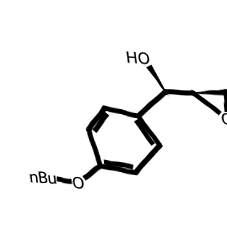 CCCCOc1ccc([C@@H](O)[C@H]2CO2)cc1